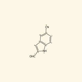 N#Cc1ccc2[nH]c(C=O)cc2c1